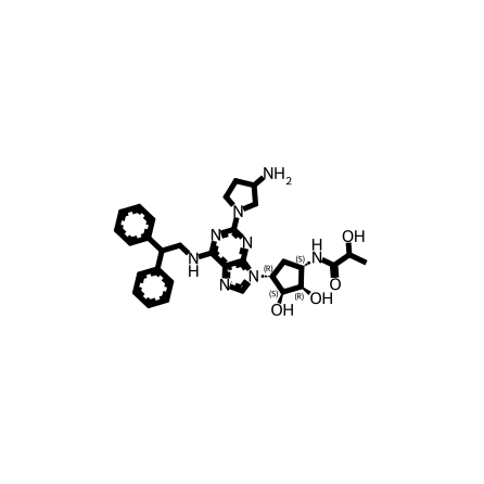 CC(O)C(=O)N[C@H]1C[C@@H](n2cnc3c(NCC(c4ccccc4)c4ccccc4)nc(N4CCC(N)C4)nc32)[C@H](O)[C@@H]1O